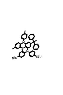 Cc1ccc(N2c3ccc(C)cc3B3c4cc(C(C)(C)C)ccc4N(c4ccc(C(C)(C)C)cc4)c4cc(C(C)(c5ccccc5)c5ccccc5)cc2c43)cc1